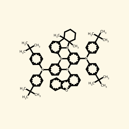 CC(C)(C)c1ccc(N(c2ccc(C(C)(C)C)cc2)c2ccc3c(c2)B2c4cccc5c4N(c4cc(N(c6ccc(C(C)(C)C)cc6)c6ccc(C(C)(C)C)cc6)cc(c42)N3c2cccc3oc4ccccc4c23)C2(C)CCCCC52C)cc1